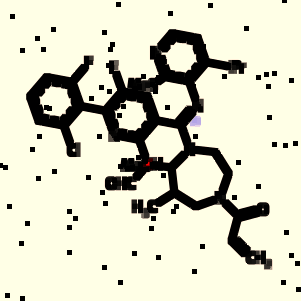 C=CC(=O)N1CCN(/C(=N/c2c(C(C)C)ccnc2SC)c2cc(F)c(-c3c(F)cccc3Cl)nc2NC=O)C(SC)C(C)C1